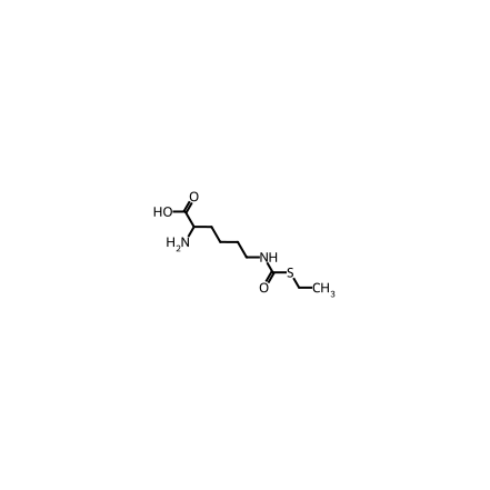 CCSC(=O)NCCCCC(N)C(=O)O